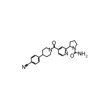 N#Cc1ccc(C2CCN(C(=O)c3ccnc(C4CCCN4C(N)=O)c3)CC2)cc1